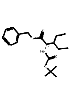 CCC(CC)[C@H](NC(=O)OC(C)(C)C)C(=O)OCc1ccccc1